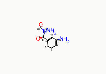 NC1=CC[CH]C(C(=O)N(N)C=O)=C1